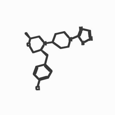 C[C@H]1CN(C2CCN(c3ncns3)CC2)[C@@H](Cc2ccc(Cl)cc2)CO1